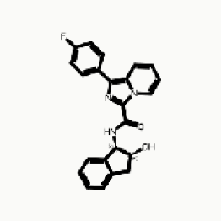 O=C(N[C@@H]1c2ccccc2C[C@@H]1O)c1nc(-c2ccc(F)cc2)c2ccccn12